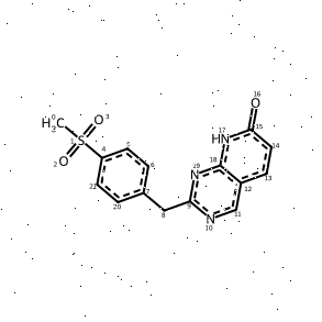 CS(=O)(=O)c1ccc(Cc2ncc3ccc(=O)[nH]c3n2)cc1